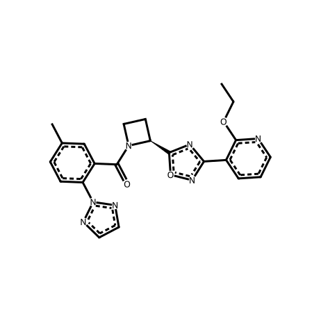 CCOc1ncccc1-c1noc([C@@H]2CCN2C(=O)c2cc(C)ccc2-n2nccn2)n1